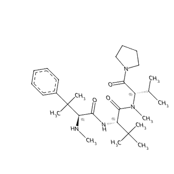 CN[C@H](C(=O)N[C@H](C(=O)N(C)[C@H](C(=O)N1CCCC1)C(C)C)C(C)(C)C)C(C)(C)c1ccccc1